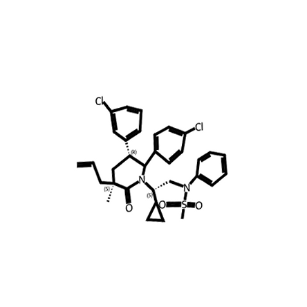 C=CC[C@@]1(C)C[C@H](c2cccc(Cl)c2)C(c2ccc(Cl)cc2)N([C@H](CN(c2ccccc2)S(C)(=O)=O)C2CC2)C1=O